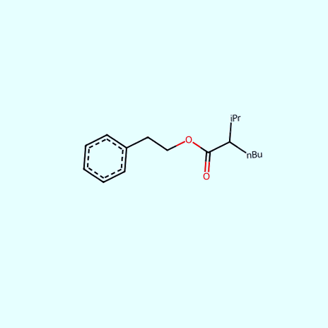 CCCCC(C(=O)OCCc1ccccc1)C(C)C